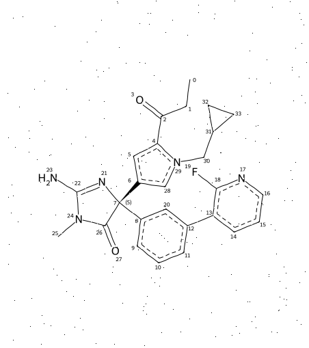 CCC(=O)c1cc([C@]2(c3cccc(-c4cccnc4F)c3)N=C(N)N(C)C2=O)cn1CC1CC1